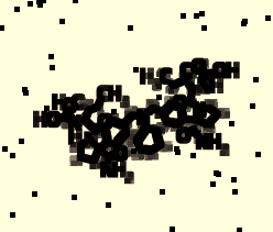 CC[C@@H](C)[C@H](NC(=O)O)C(=O)N1CCC[C@@]1(C(N)=O)c1ccc(CN(Cc2ccc([C@]3(C(N)=O)CCCN3C(=O)[C@@H](NC(=O)O)[C@H](C)CC)cc2)c2ccccc2)cc1